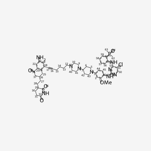 COc1cc(N2CCC(N3CCN(CCCCC#Cc4cc(N)cc5c4CC(CCC4CCC(=O)NC4=O)CC5=O)CC3)CC2)ccc1Nc1ncc(Cl)c(Nc2ccccc2P(C)(C)=O)n1